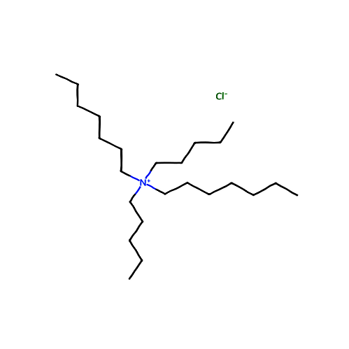 CCCCCCC[N+](CCCCC)(CCCCC)CCCCCCC.[Cl-]